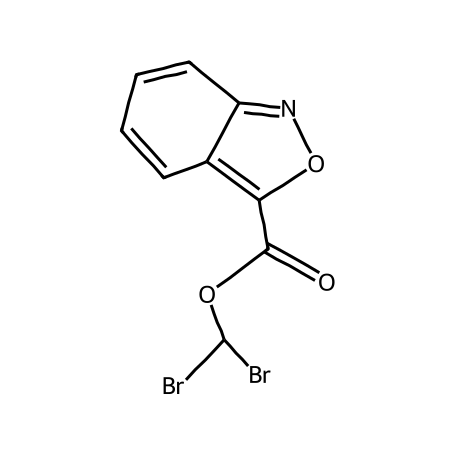 O=C(OC(Br)Br)c1onc2ccccc12